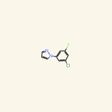 Fc1cc(Cl)cc(-n2cccn2)c1